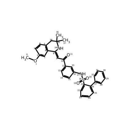 COc1ccc2c(c1)/C(=C/C(=O)c1cccc(NS(=O)(=O)c3ccccc3-c3ccccc3)c1)NC(C)(C)C2